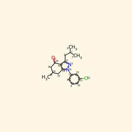 CC(C)Cc1nn(-c2cccc(Cl)c2)c2c1C(=O)CC(C)C2